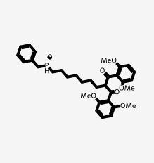 COc1cccc(OC)c1C(=O)C(CCCCCCC[PH](=O)Cc1ccccc1)C(=O)c1c(OC)cccc1OC